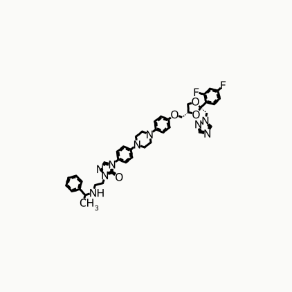 CC(NCCn1ncn(-c2ccc(N3CCN(c4ccc(OC[C@@H]5CO[C@@](Cn6cncn6)(c6ccc(F)cc6F)O5)cc4)CC3)cc2)c1=O)c1ccccc1